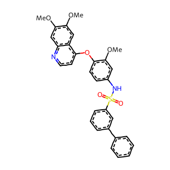 COc1cc2nccc(Oc3ccc(NS(=O)(=O)c4cccc(-c5ccccc5)c4)cc3OC)c2cc1OC